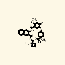 COc1cc(F)c(OC2CCC(C)(C(=O)O)CC2)cc1C(=O)Nc1cc2ccccc2cc1C(=O)NCC1(C)CCC1